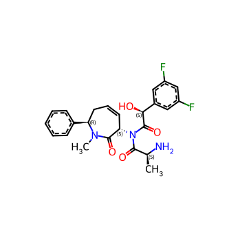 C[C@H](N)C(=O)N(C(=O)[C@@H](O)c1cc(F)cc(F)c1)[C@H]1C=CC[C@H](c2ccccc2)N(C)C1=O